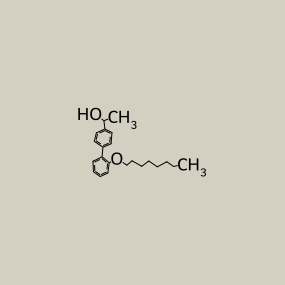 CCCCCCCCOc1ccccc1-c1ccc(C(C)O)cc1